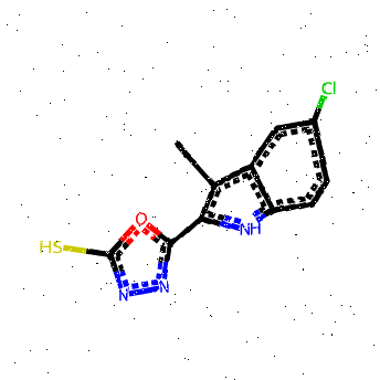 Cc1c(-c2nnc(S)o2)[nH]c2ccc(Cl)cc12